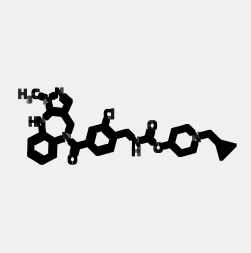 Cn1ncc2c1Nc1ccccc1N(C(=O)c1ccc(CNC(=O)OC3CCN(CC4CC4)CC3)c(Cl)c1)C2